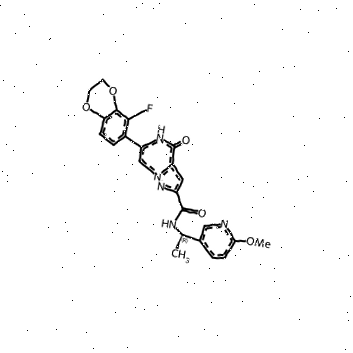 COc1ccc([C@@H](C)NC(=O)c2cc3c(=O)[nH]c(-c4ccc5c(c4F)OCCO5)cn3n2)cn1